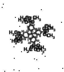 CO[Si](OC)(OC)c1ccc(C(c2ccc([Si](OC)(OC)OC)cc2)(c2ccc([Si](OC)(OC)OC)cc2)c2ccc([Si](OC)(OC)OC)cc2)cc1